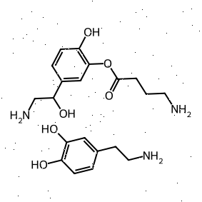 NCCCC(=O)Oc1cc(C(O)CN)ccc1O.NCCc1ccc(O)c(O)c1